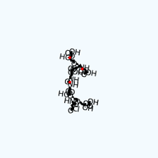 O=C(O)CC(=O)N[C@H](COCC[C@@H](O)OC(=O)O)COP(=O)(O)OCCNC(=O)NCCOP(=O)(O)OC[C@@H](COCC[C@@H](O)OC(=O)O)NC(=O)CC(=O)Cl